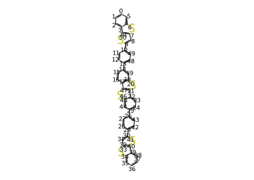 c1ccc2c(c1)sc1cc(-c3ccc(-c4ccc5c(c4)sc4c6ccc(-c7ccc(-c8cc9sc%10ccccc%10c9s8)cc7)cc6sc54)cc3)sc12